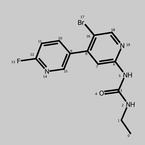 CCNC(=O)Nc1cc(-c2ccc(F)nc2)c(Br)cn1